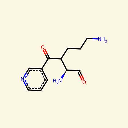 NCCCC(C(=O)c1cccnc1)[C@H](N)[C]=O